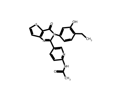 CCc1ccc(-n2c(-c3ccc(NC(C)=O)nc3)nc3ccsc3c2=O)cc1O